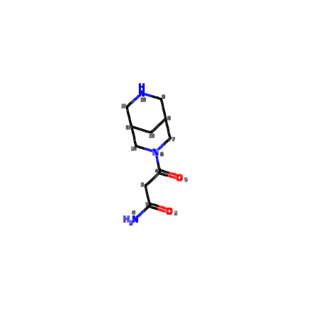 NC(=O)CC(=O)N1CC2CNCC(C2)C1